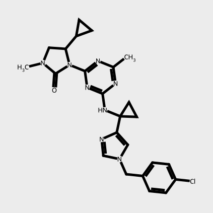 Cc1nc(NC2(c3cn(Cc4ccc(Cl)cc4)cn3)CC2)nc(N2C(=O)N(C)CC2C2CC2)n1